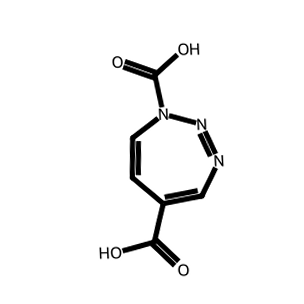 O=C(O)C1=CN=NN(C(=O)O)C=C1